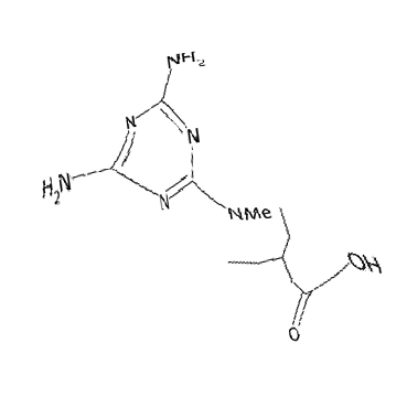 CC(C)C(=O)O.CNc1nc(N)nc(N)n1